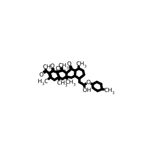 CC(=O)C1=C(C)CC2(C)CC3(C)CC4C(CC(O)OC5CCC(C)CC5)CCC(C)C4C(=O)C3C(C)C2(C)C1=O